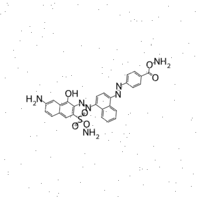 NOC(=O)c1ccc(N=Nc2ccc(N=Nc3c(S(=O)(=O)ON)cc4ccc(N)cc4c3O)c3ccccc23)cc1